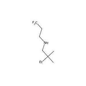 CCC(C)(C)CNCCC(F)(F)F